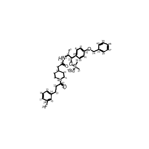 C[C@H](NC(=O)CC1CCN(C(=O)CCc2cccc(F)c2)CC1)[C@H](O[Si](C)(C)C(C)(C)C)c1ccc(OCc2ccccc2)cc1